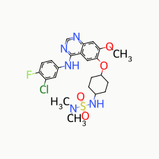 COc1cc2ncnc(Nc3ccc(F)c(Cl)c3)c2cc1OC1CCC(NS(=O)(=O)N(C)C)CC1